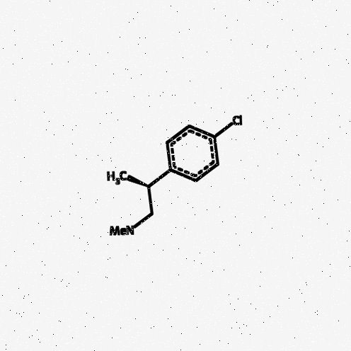 CNC[C@@H](C)c1ccc(Cl)cc1